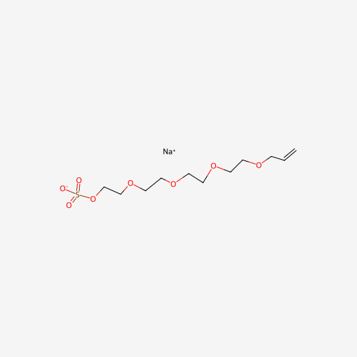 C=CCOCCOCCOCCOCCOS(=O)(=O)[O-].[Na+]